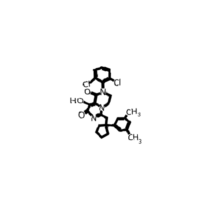 Cc1cc(C)cc(C2(Cc3nc(=O)c(O)c4n3CCN(c3c(Cl)cccc3Cl)C4=O)CCCC2)c1